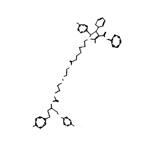 CC(C)C1=C(C(=O)Nc2ccccc2)C(C2C=CC=CC2)C(c2ccc(F)cc2)N1CC[C@@H](O)C[C@@H](O)CC(=O)OCCSSCCOC(=O)OC(CCc1ccc(C(C)(C)C)cc1)COc1ccc(C(=O)O)cc1